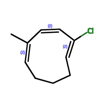 CC1=C/CCC/C=C(Cl)/C=C\1